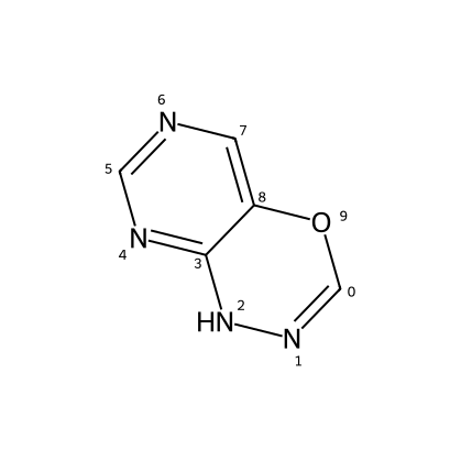 C1=NNc2ncncc2O1